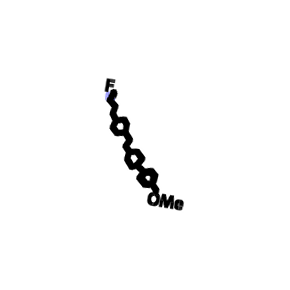 COCc1ccc(C2CCC(CCC3CCC(CC/C=C/F)CC3)CC2)cc1